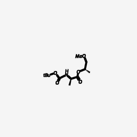 COC[C@H](C)OC(=O)[C@@H](C)NC(=O)OC(C)(C)C